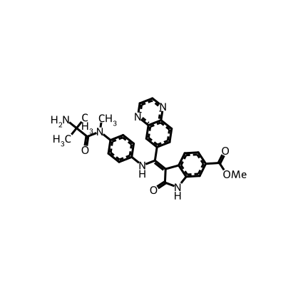 COC(=O)c1ccc2c(c1)NC(=O)/C2=C(\Nc1ccc(N(C)C(=O)C(C)(C)N)cc1)c1ccc2nccnc2c1